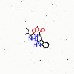 CCC(C)[C@H](N)C(=O)N[C@@H](Cc1c[nH]c2ccccc12)C(=O)OC